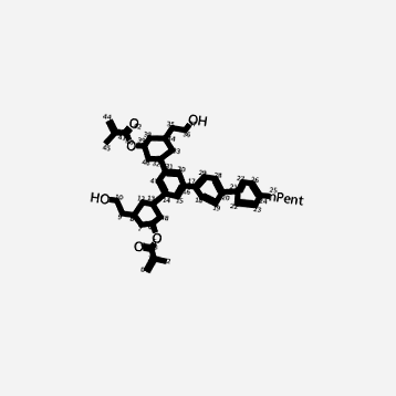 C=C(C)C(=O)OC1CC(CCO)CC(c2cc(-c3ccc(-c4ccc(CCCCC)cc4)cc3)cc(C3CC(CCO)CC(OC(=O)C(=C)C)C3)c2)C1